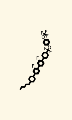 CCCCCC1CCC(c2ccc(-c3ccc(C4CCC(C(F)(F)Oc5ccc(OC(F)(F)F)cc5)CC4)c(F)c3)c(F)c2)CC1